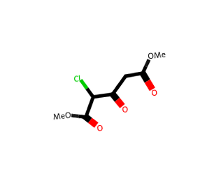 COC(=O)CC(=O)C(Cl)C(=O)OC